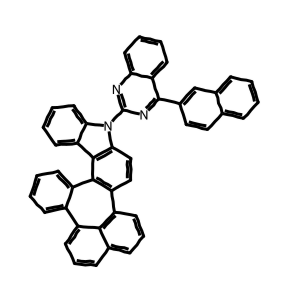 c1ccc2c(c1)-c1cccc3cccc(c13)-c1ccc3c(c1-2)c1ccccc1n3-c1nc(-c2ccc3ccccc3c2)c2ccccc2n1